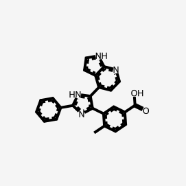 Cc1ccc(C(=O)O)cc1-c1nc(-c2ccccc2)[nH]c1-c1ccnc2[nH]ccc12